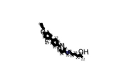 C=CCOc1ccc(-c2ccc(-c3ncc(/C=C/CCCC(C)O)cn3)cc2)c(F)c1